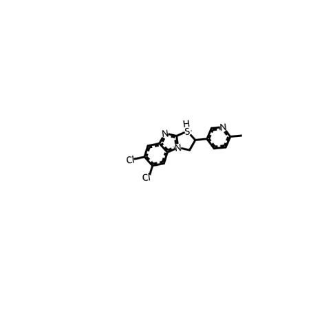 Cc1ccc(C2Cn3c(nc4cc(Cl)c(Cl)cc43)[SH]2)cn1